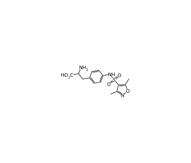 Cc1noc(C)c1S(=O)(=O)Nc1ccc(CC(N)C(=O)O)cc1